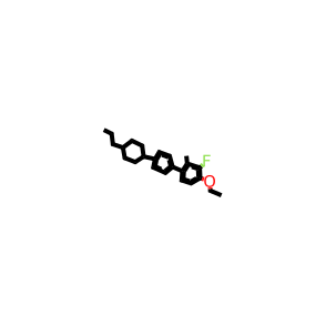 CCCC1CCC(c2ccc(-c3ccc(OCC)c(F)c3C)cc2)CC1